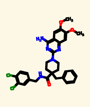 COc1cc2nc(N3CCC(Cc4ccccc4)(C(=O)NCc4ccc(Cl)c(Cl)c4)CC3)nc(N)c2cc1OC